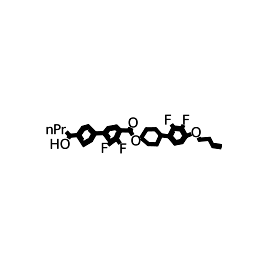 C=CCCOc1ccc(C2CCC(OC(=O)c3ccc(-c4ccc(C(O)CCC)cc4)c(F)c3F)CC2)c(F)c1F